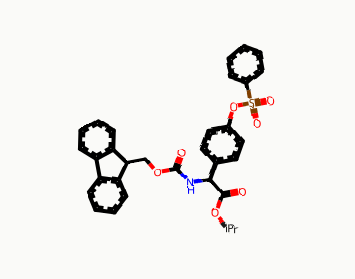 CC(C)OC(=O)C(NC(=O)OCC1c2ccccc2-c2ccccc21)c1ccc(OS(=O)(=O)c2ccccc2)cc1